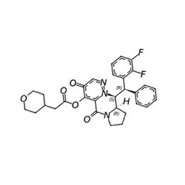 O=C(CC1CCOCC1)Oc1c2n(ncc1=O)[C@@H]([C@H](c1ccccc1)c1cccc(F)c1F)[C@H]1CCCN1C2=O